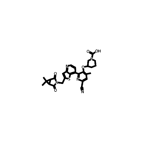 Cc1cc(C#N)nc(-c2ccnc3cc(CN4C(=O)C5C(C4=O)C5(C)C)sc23)c1OC1CCCN(C(=O)O)C1